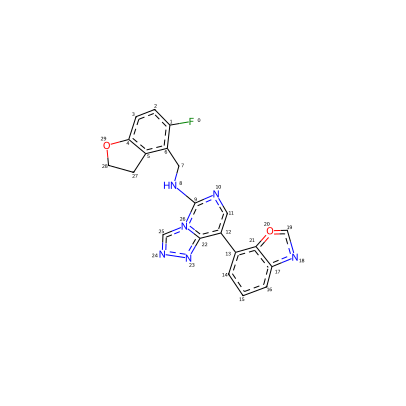 Fc1ccc2c(c1CNc1ncc(-c3cccc4ncoc34)c3nncn13)CCO2